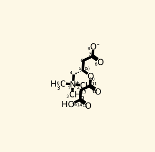 C[N+](C)(C)C[C@H](CC(=O)[O-])OC(=O)CC(=O)O